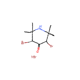 Br.CC1(C)NC(C)(C)C(Br)C(=O)C1Br